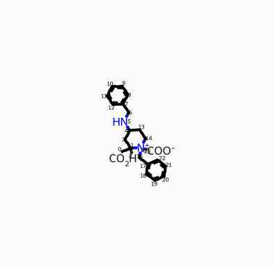 CC1(C(=O)O)CC(NCc2ccccc2)CC[N+]1(Cc1ccccc1)C(=O)[O-]